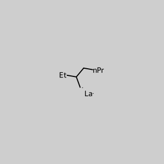 [CH2]C(CC)CCCC.[La]